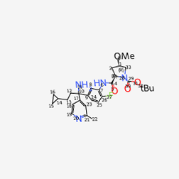 CO[C@@H]1C[C@H](C(=O)Nc2cc(C(N)(CCC3CC3)c3ccnc(C)c3)ccc2F)N(C(=O)OC(C)(C)C)C1